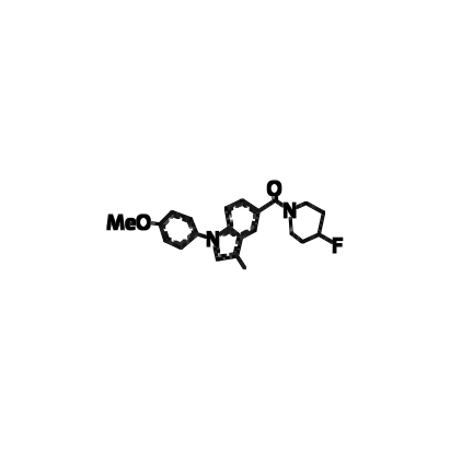 COc1ccc(-n2cc(C)c3cc(C(=O)N4CCC(F)CC4)ccc32)cc1